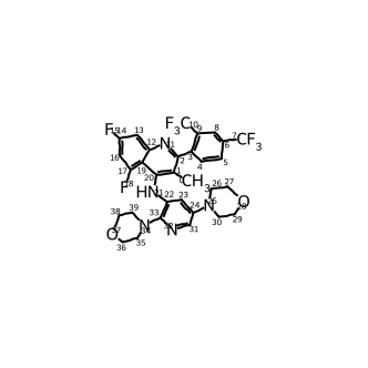 Cc1c(-c2ccc(C(F)(F)F)cc2C(F)(F)F)nc2cc(F)cc(F)c2c1Nc1cc(N2CCOCC2)cnc1N1CCOCC1